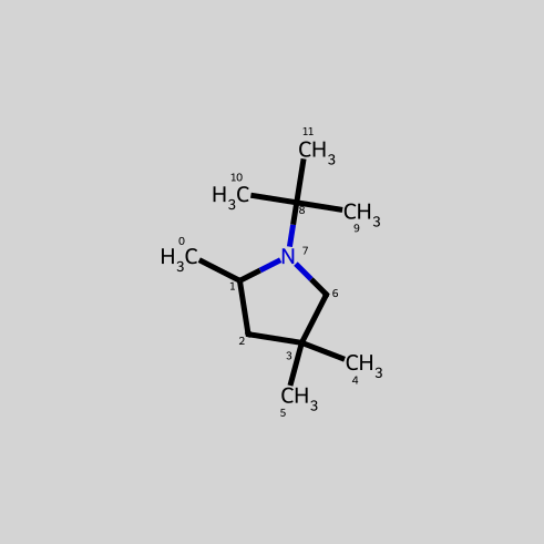 CC1CC(C)(C)CN1C(C)(C)C